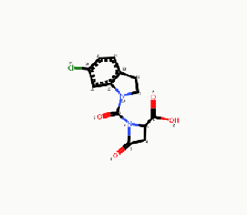 O=C(O)C1CC(=O)N1C(=O)N1CCc2ccc(Cl)cc21